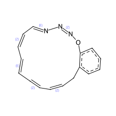 C1=C\C=C\C=C/C=N/N=N\Oc2ccccc2C\C=C/1